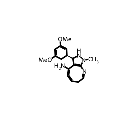 COC1=C[C@@H](C2NN(C)C3=C2C(N)=C=CC/C=N\3)CC(OC)=C1